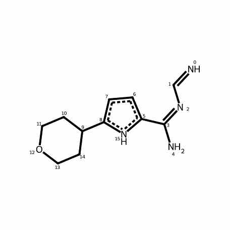 N=C/N=C(/N)c1ccc(C2CCOCC2)[nH]1